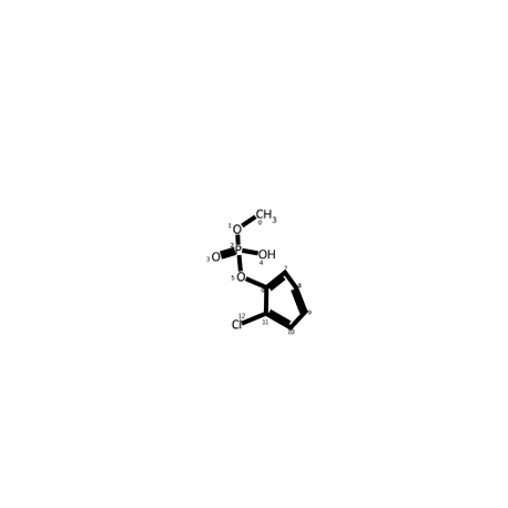 COP(=O)(O)Oc1ccccc1Cl